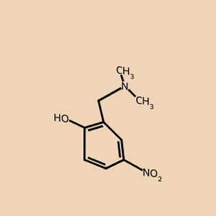 CN(C)Cc1cc([N+](=O)[O-])ccc1O